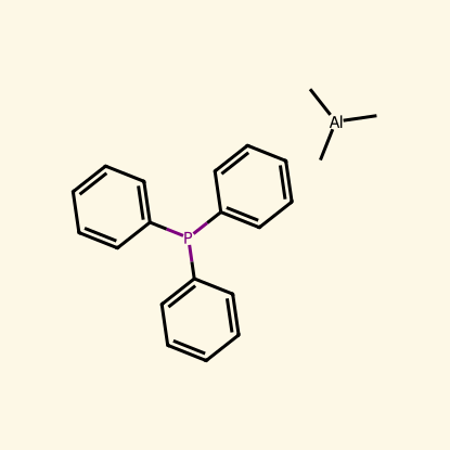 [CH3][Al]([CH3])[CH3].c1ccc(P(c2ccccc2)c2ccccc2)cc1